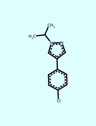 CC(C)n1cc(-c2ccc(Cl)cc2)cn1